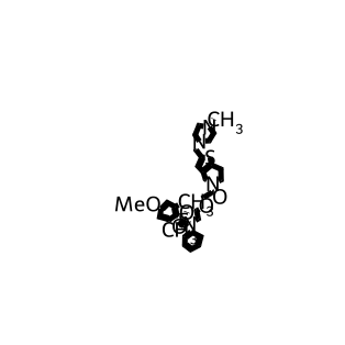 COc1cc(C)c(S(=O)(=O)N(CCOCC(=O)N2CCc3sc(CN4CCN(C)CC4)cc3C2)c2ccccc2)c(C)c1